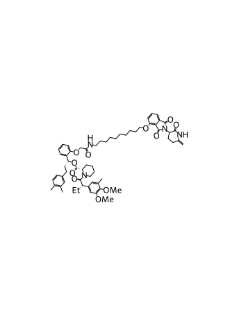 C=C1CCC(N2C(=O)c3cccc(OCCCCCCCCCCNC(=O)COc4ccccc4[C@@H](CCc4ccc(C)c(C)c4)OC(=O)[C@@H]4CCCCN4C(=O)[C@@H](CC)c4cc(C)c(OC)c(OC)c4)c3C2=O)C(=O)N1